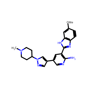 COc1c#cc2nc(-c3cc(-c4cnn(C5CCN(C)CC5)c4)cnc3N)[nH]c2c1